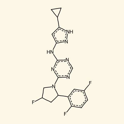 Fc1ccc(F)c(C2CC(F)CN2c2ncnc(Nc3cc(C4CC4)[nH]n3)n2)c1